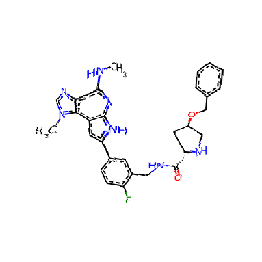 CNc1nc2[nH]c(-c3ccc(F)c(CNC(=O)[C@@H]4C[C@@H](OCc5ccccc5)CN4)c3)cc2c2c1ncn2C